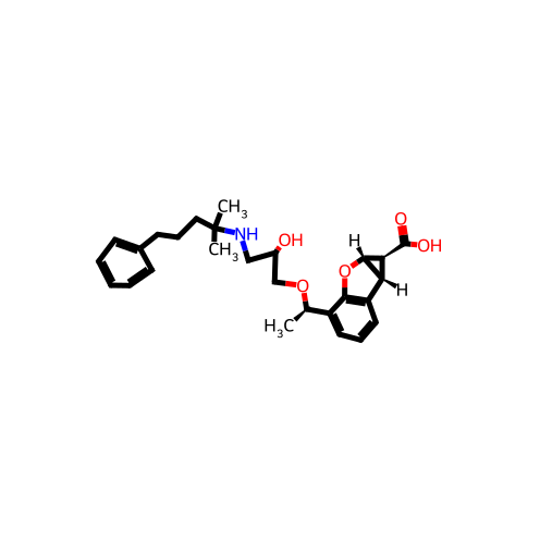 C[C@@H](OCC(O)CNC(C)(C)CCCc1ccccc1)c1cccc2c1O[C@@H]1[C@@H](C(=O)O)[C@H]21